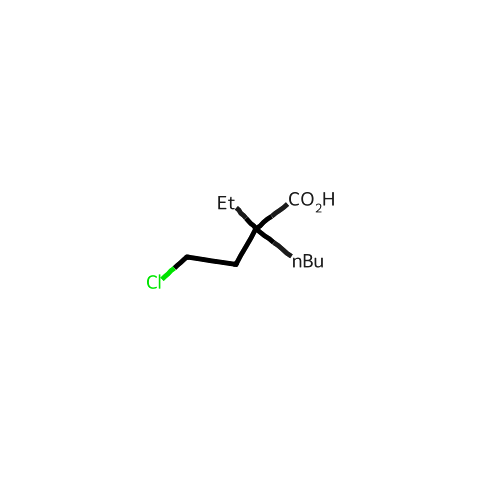 CCCCC(CC)(CCCl)C(=O)O